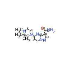 CN1CCN(c2ccn3ncc(C(N)=O)c3n2)CC1(C)C